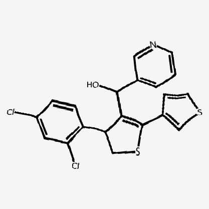 OC(C1=C(c2ccsc2)SCC1c1ccc(Cl)cc1Cl)c1cccnc1